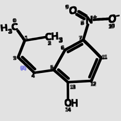 CC(C)/C=C\c1cc([N+](=O)[O-])ccc1O